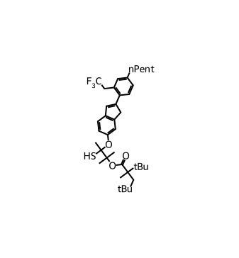 CCCCCc1ccc(C2=Cc3ccc(OC(C)(S)C(C)(C)OC(=O)C(C)(CC(C)(C)C)C(C)(C)C)cc3C2)c(CC(F)(F)F)c1